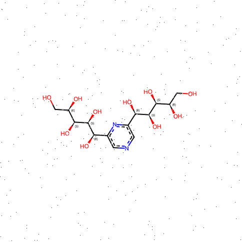 OC[C@@H](O)[C@H](O)[C@@H](O)[C@H](O)c1cncc([C@@H](O)[C@H](O)[C@@H](O)[C@H](O)CO)n1